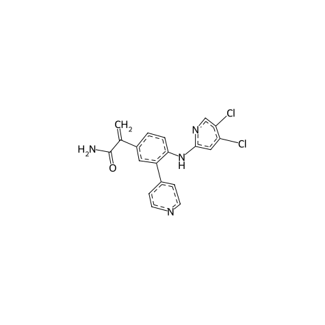 C=C(C(N)=O)c1ccc(Nc2cc(Cl)c(Cl)cn2)c(-c2ccncc2)c1